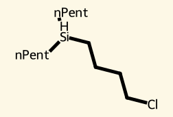 CCCCC[SiH](CCCCC)CCCCCl